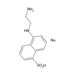 NCCNc1cccc2c(S(=O)(=O)O)cccc12.[Na]